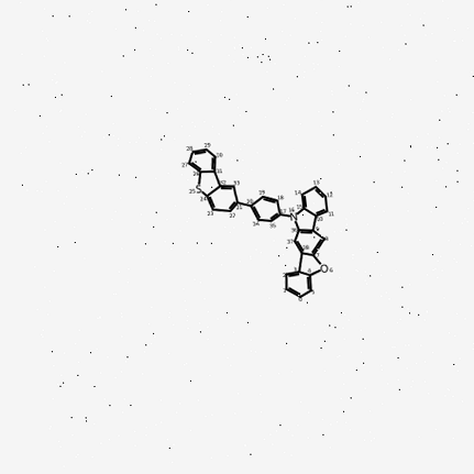 c1ccc2c(c1)oc1cc3c4ccccc4n(-c4ccc(-c5ccc6sc7ccccc7c6c5)cc4)c3cc12